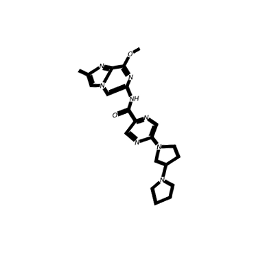 COc1nc(NC(=O)c2cnc(N3CCC(N4CCCC4)C3)cn2)cn2cc(C)nc12